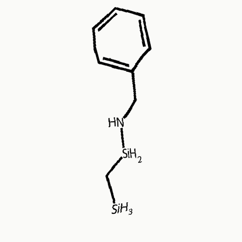 [SiH3]C[SiH2]NCc1ccccc1